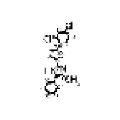 Cc1nc(-c2ccc(-c3ccc(Cl)cc3Cl)o2)[nH]c1-c1ccccc1